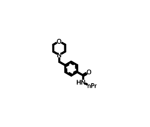 CCCNC(=O)c1ccc(CN2CCOCC2)cc1